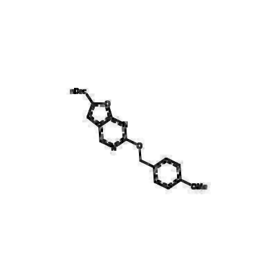 CCCCCCCCCCc1cc2cnc(OCc3ccc(OC)cc3)nc2o1